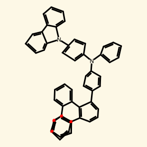 c1ccc(-c2ccccc2-c2c(-c3ccccc3)cccc2-c2ccc(N(c3ccccc3)c3ccc(-n4c5ccccc5c5ccccc54)cc3)cc2)cc1